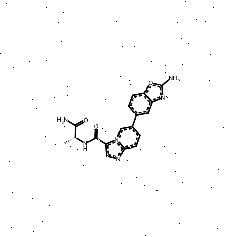 C[C@@H](NC(=O)c1cnc2ccc(-c3ccc4oc(N)nc4c3)cn12)C(N)=O